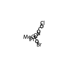 COC(=O)C(CCCN1CCC(Cc2cccc(Cl)c2)CC1)(c1ccc(Br)cc1)C(C)C